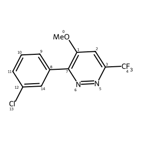 COc1cc(C(F)(F)F)nnc1-c1cccc(Cl)c1